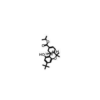 CC(C)OC(=O)C1=CC[C@@H]2[C@@H](C1)c1c(O)cc(C(C)(C)C)cc1OC2(C)C